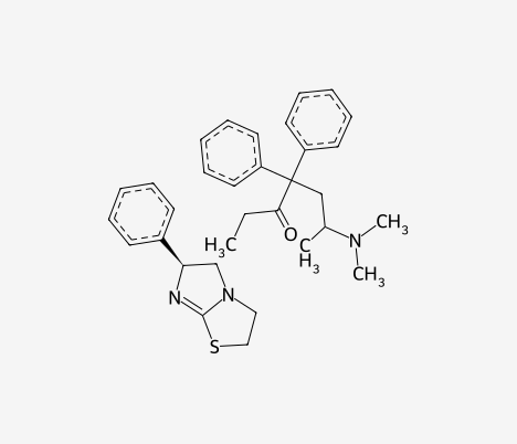 CCC(=O)C(CC(C)N(C)C)(c1ccccc1)c1ccccc1.c1ccc([C@H]2CN3CCSC3=N2)cc1